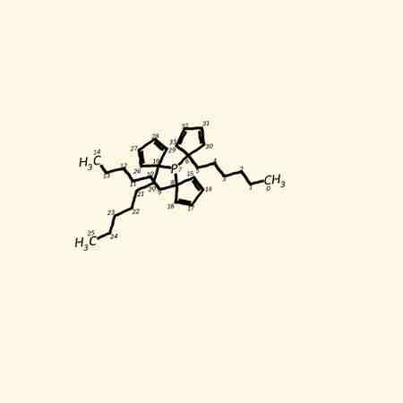 CCCCCCC1(P(C2(CCCCCC)C=CC=C2)C2(CCCCCC)C=CC=C2)C=CC=C1